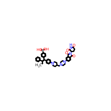 CC/C(=C(/c1ccc(B(O)O)cc1)c1ccc(N2CCC(CN3CCN(c4ccc5c(c4)C(=O)N(C4CCC(=O)NC4=O)C5=O)CC3)CC2)cc1)c1ccccc1